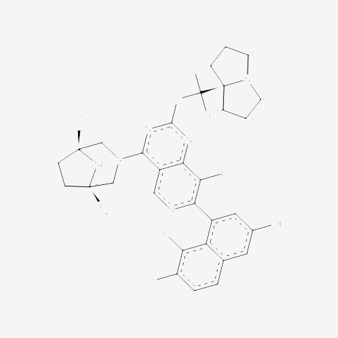 [2H]C([2H])(Oc1nc(N2C[C@H]3CC[C@@H](C2)N3)c2cnc(-c3cc(O)cc4ccc(F)c(F)c34)c(F)c2n1)[C@@]12CCCN1C[C@H](F)C2